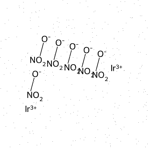 O=[N+]([O-])[O-].O=[N+]([O-])[O-].O=[N+]([O-])[O-].O=[N+]([O-])[O-].O=[N+]([O-])[O-].O=[N+]([O-])[O-].[Ir+3].[Ir+3]